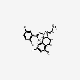 CC(=O)N1N=C(c2cc(F)ccc2F)S[C@]12c1cc(F)cc(F)c1CC[C@@H]2CCN